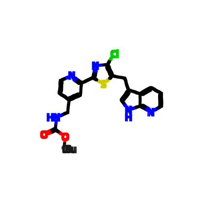 CC(C)(C)OC(=O)NCc1ccnc(-c2nc(Cl)c(Cc3c[nH]c4ncccc34)s2)c1